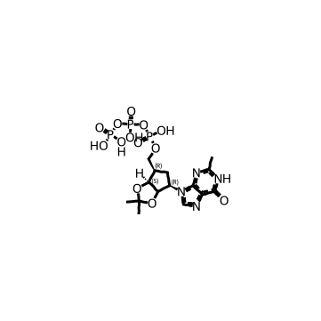 Cc1nc2c(ncn2[C@@H]2C[C@H](COP(=O)(O)OP(=O)(O)OP(=O)(O)O)[C@@H]3OC(C)(C)OC32)c(=O)[nH]1